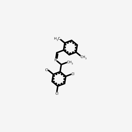 Cc1ccc(C)c(/C=N\C(C)c2c(Cl)cc(Cl)cc2Cl)c1